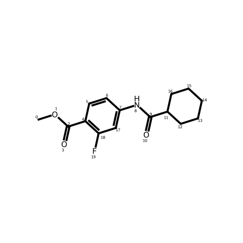 COC(=O)c1ccc(NC(=O)C2CCCCC2)cc1F